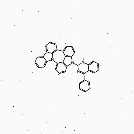 c1ccc(C2=NC(n3c4cccc5c6cccc7c8ccccc8n(c8cccc3c8c54)c67)Nc3ccccc32)cc1